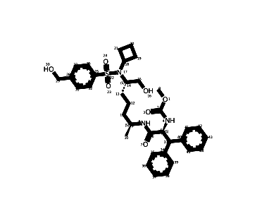 COC(=O)N[C@H](C(=O)N[C@@H](C)CCC[C@@H](CO)N(C1CCC1)S(=O)(=O)c1ccc(CO)cc1)C(c1ccccc1)c1ccccc1